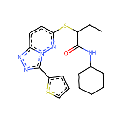 CCC(Sc1ccc2nnc(-c3cccs3)n2n1)C(=O)NC1CCCCC1